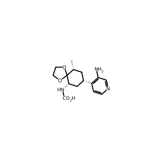 C[C@@H]1C[C@H](c2ccncc2N)C[C@H](NC(=O)O)C12OCCO2